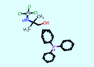 CC(C)(CO)[NH][Pt-]([Cl])([Cl])[Cl].c1ccc([PH+](c2ccccc2)c2ccccc2)cc1